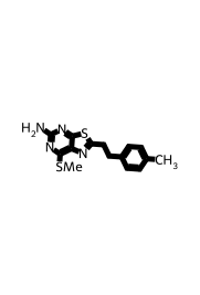 CSc1nc(N)nc2sc(CCc3ccc(C)cc3)nc12